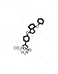 NS(=O)(=O)CC(CC(=O)O)c1ccc(O[C@@H]2CCc3c(Oc4ccccc4)cccc32)cc1